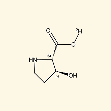 [2H]OC(=O)[C@H]1NCC[C@@H]1O